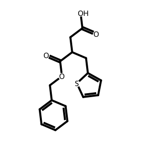 O=C(O)CC(Cc1cccs1)C(=O)OCc1ccccc1